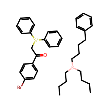 CCCCB(CCCC)CCCCc1ccccc1.O=C(C[S+](c1ccccc1)c1ccccc1)c1ccc(Br)cc1